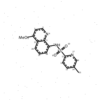 COc1ccnc2c(NS(=O)(=O)c3ccc(C)cn3)cccc12